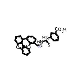 O=C(O)c1cccc(NC(=S)N/N=C\c2cccc(-c3cccc4oc5ccccc5c34)c2O)c1